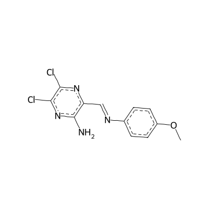 COc1ccc(N=Cc2nc(Cl)c(Cl)nc2N)cc1